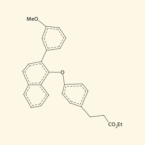 CCOC(=O)CCc1ccc(Oc2c(-c3cccc(OC)c3)ccc3ccccc23)cc1